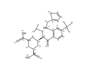 CC(C)CN(C(=O)c1cnc(C(C)(C)C)nc1NCc1ccco1)[C@H]1C[C@@H](C(=O)O)CN(C(=O)O)C1